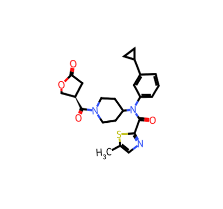 Cc1cnc(C(=O)N(c2cccc(C3CC3)c2)C2CCN(C(=O)[C@H]3COC(=O)C3)CC2)s1